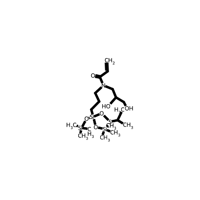 C=CC(=O)N(CCC[Si](OSC(C)C)(O[Si](C)(C)C)O[Si](C)(C)C)CC(O)CO